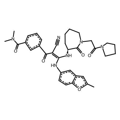 Cc1cc2cc(NC(N[C@H]3CCCCN(CC(=O)N4CCCC4)C3=O)=C(C#N)C(=O)c3cccc(C(=O)N(C)C)c3)ccc2o1